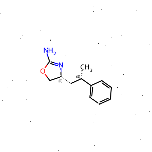 C[C@@H](C[C@@H]1COC(N)=N1)c1ccccc1